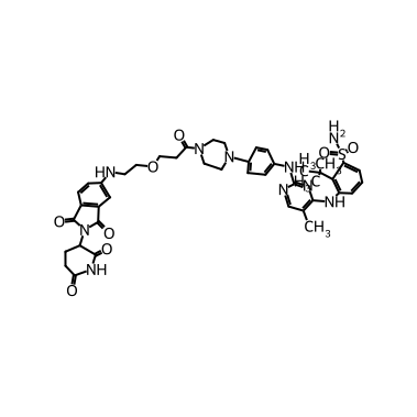 Cc1cnc(Nc2ccc(N3CCN(C(=O)CCOCCNc4ccc5c(c4)C(=O)N(C4CCC(=O)NC4=O)C5=O)CC3)cc2)nc1Nc1cccc(S(N)(=O)=O)c1C(C)(C)C